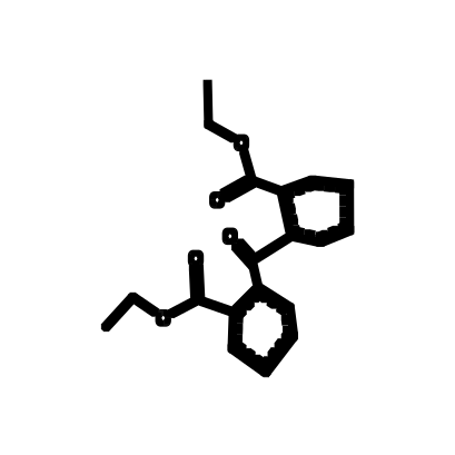 CCOC(=O)c1ccccc1C(=O)c1ccccc1C(=O)OCC